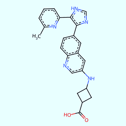 Cc1cccc(-c2[nH]cnc2-c2ccc3ncc(NC4CC(C(=O)O)C4)cc3c2)n1